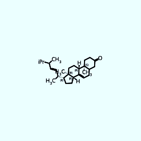 CC(C)C(C)C=CC(C)[C@H]1CC[C@H]2C3=CCC4CC(=O)CC[C@]4(C)[C@H]3CC[C@]12C